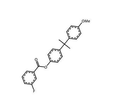 COc1ccc(C(C)(C)c2ccc(OC(=O)c3cccc(F)c3)cc2)cc1